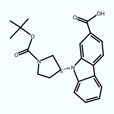 CC(C)(C)OC(=O)N1CC[C@@H](n2c3ccccc3c3ccc(C(=O)O)cc32)C1